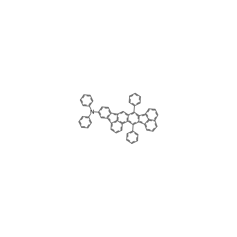 c1ccc(-c2c3cc4c5ccc(N(c6ccccc6)c6ccccc6)cc5c5cccc(c3c(-c3ccccc3)c3c6cccc7cccc(c23)c76)c54)cc1